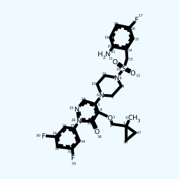 CC1(COc2c(N3CCN(S(=O)(=O)Cc4cc(F)ccc4N)CC3)cnn(-c3cc(F)cc(F)c3)c2=O)CC1